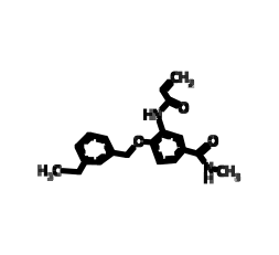 C=CC(=O)Nc1cc(C(=O)NC)ccc1OCc1cccc(CC)c1